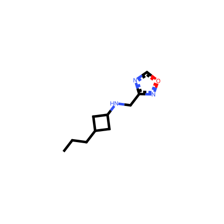 CCCC1CC(NCc2ncon2)C1